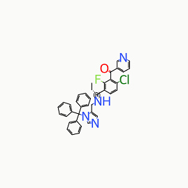 CC[C@@H](NCc1cncn1C(c1ccccc1)(c1ccccc1)c1ccccc1)c1ccc(Cl)c(C(=O)c2cccnc2)c1F